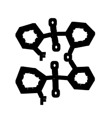 O=S(=O)(c1ccccc1F)c1ccccc1Oc1ccccc1S(=O)(=O)c1ccccc1F